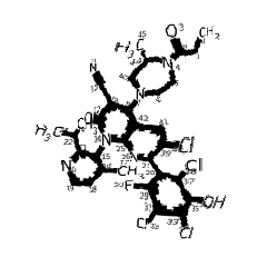 C=CC(=O)N1CCN(c2c(C#N)c(=O)n(-c3c(C)ccnc3C(C)C)c3nc(-c4c(F)c(Cl)c(Cl)c(O)c4Cl)c(Cl)cc23)C[C@H]1C